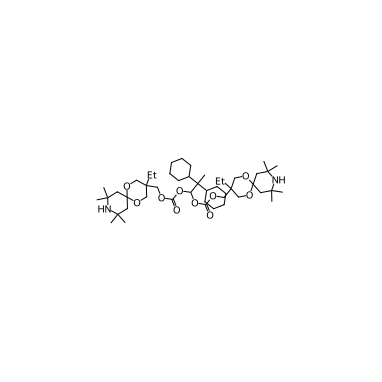 CCC1(COC(=O)OC(OC(=O)OCC2(CC)COC3(CC(C)(C)NC(C)(C)C3)OC2)C(C)(C2CCCCC2)C2CCCCC2)COC2(CC(C)(C)NC(C)(C)C2)OC1